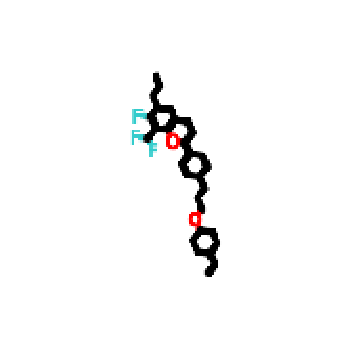 CCCc1cc2c(c(C(F)F)c1F)OC(C1CCC(CCCOC3CCC(CC)CC3)CC1)CC2